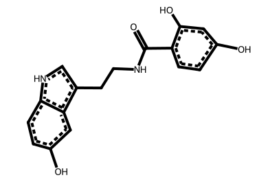 O=C(NCCc1c[nH]c2ccc(O)cc12)c1ccc(O)cc1O